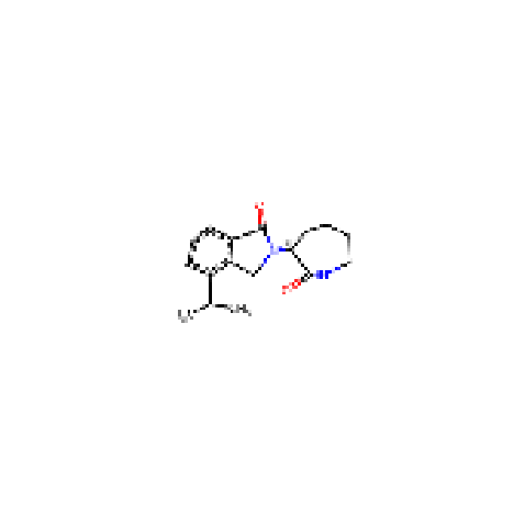 CC(C)c1cccc2c1CN([C@H]1CCCCNC1=O)C2=O